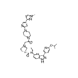 CCN(C(=O)[C@@H]1CCN(CC(=O)N2CCN(c3ncc(-c4ncn(C)n4)s3)CC2)C1)c1ccc2[nH]nc(-c3ccc(OC(C)C)nc3)c2n1